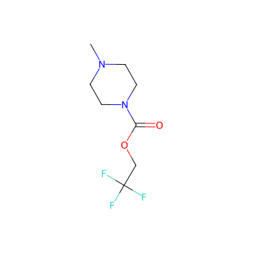 CN1CCN(C(=O)OCC(F)(F)F)CC1